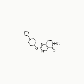 CCN1CCc2nc(OC3CCN(C4CCC4)CC3)ncc2C1=O